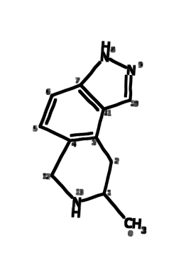 CC1Cc2c(ccc3[nH]ncc23)CN1